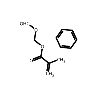 C=C(C)C(=O)OCOC=O.c1ccccc1